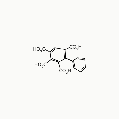 O=C(O)c1cc(C(=O)O)c(-c2ccccc2)c(C(=O)O)c1C(=O)O